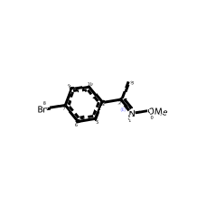 CO/N=C(\C)c1ccc(Br)cc1